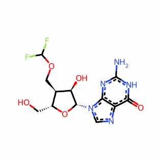 Nc1nc2c(ncn2[C@@H]2O[C@H](CO)[C@@H](COC(F)F)[C@H]2O)c(=O)[nH]1